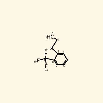 [CH]CCc1ccccc1C(F)(F)F